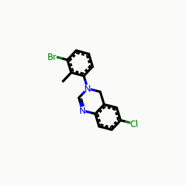 Cc1c(Br)cccc1N1C=Nc2ccc(Cl)cc2C1